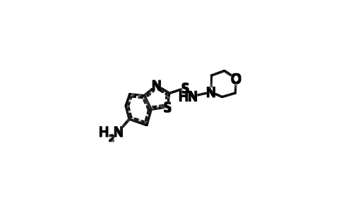 Nc1ccc2nc(SNN3CCOCC3)sc2c1